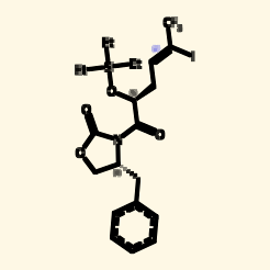 CC[Si](CC)(CC)O[C@@H](C/C=C(\I)C(F)(F)F)C(=O)N1C(=O)OC[C@H]1Cc1ccccc1